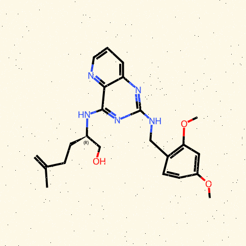 C=C(C)CC[C@H](CO)Nc1nc(NCc2ccc(OC)cc2OC)nc2cccnc12